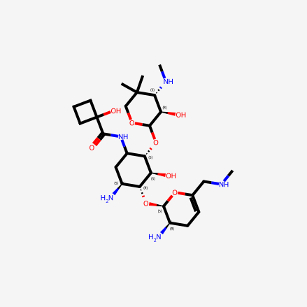 CNCC1=CC[C@@H](N)[C@@H](O[C@H]2[C@H](O)[C@@H](OC3OCC(C)(C)[C@H](NC)[C@H]3O)C(NC(=O)C3(O)CCC3)C[C@@H]2N)O1